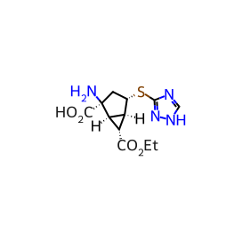 CCOC(=O)[C@H]1[C@H]2[C@@H]1[C@](N)(C(=O)O)C[C@@H]2Sc1nc[nH]n1